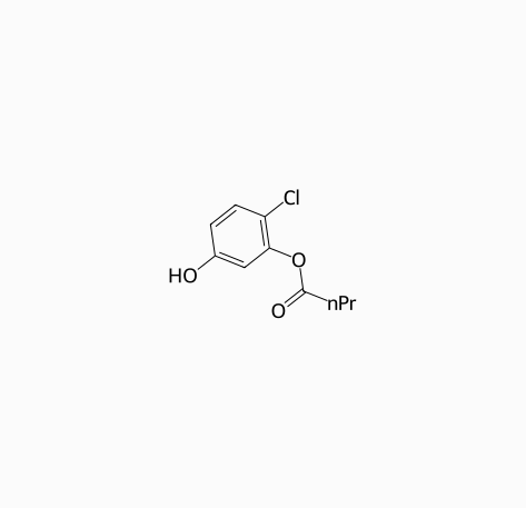 CCCC(=O)Oc1cc(O)ccc1Cl